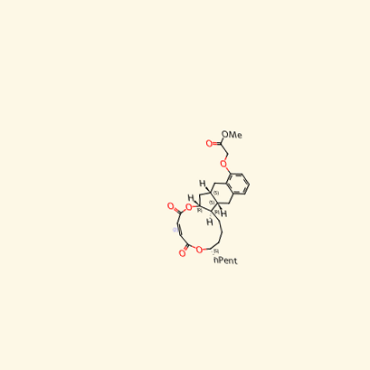 CCCCC[C@H]1CCC[C@@H]2[C@H]3Cc4cccc(OCC(=O)OC)c4C[C@H]3C[C@H]2OC(=O)/C=C\C(=O)O1